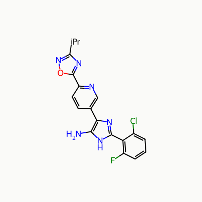 CC(C)c1noc(-c2ccc(-c3nc(-c4c(F)cccc4Cl)[nH]c3N)cn2)n1